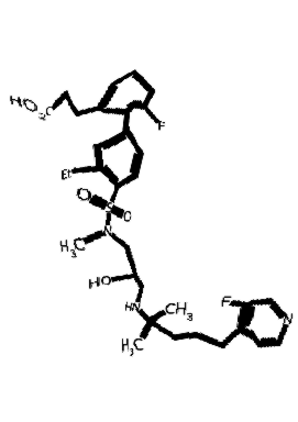 CCc1cc(-c2c(F)cccc2CCC(=O)O)ccc1S(=O)(=O)N(C)CC(O)CNC(C)(C)CCCc1ccncc1F